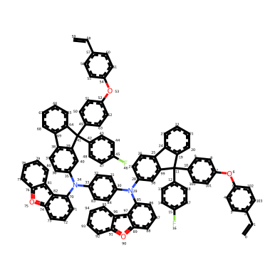 C=Cc1ccc(Oc2ccc(C3(c4ccc(F)cc4)c4ccccc4-c4ccc(N(c5ccc(N(c6ccc7c(c6)C(c6ccc(F)cc6)(c6ccc(Oc8ccc(C=C)cc8)cc6)c6ccccc6-7)c6cccc7oc8ccccc8c67)cc5)c5cccc6oc7ccccc7c56)cc43)cc2)cc1